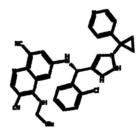 CC(C)(C)CNc1c(C#N)cnc2c(C#N)cc(N[C@H](C3=CN(C4(c5ccncc5)CC4)NN3)c3ccccc3Cl)cc12